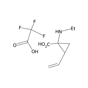 C=CC1CC1(NCC)C(=O)O.O=C(O)C(F)(F)F